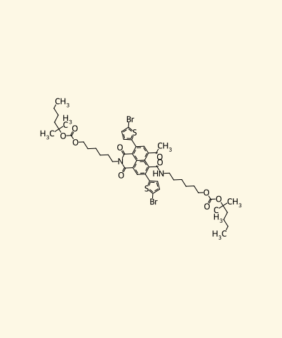 CCCCC(C)(C)OC(=O)OCCCCCCNC(=O)c1c(-c2ccc(Br)s2)cc2c3c(c(-c4ccc(Br)s4)cc(C(C)=O)c13)C(=O)N(CCCCCCOC(=O)OC(C)(C)CCCC)C2=O